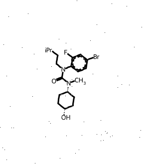 CC(C)CCN(C(=O)N(C)[C@H]1CC[C@@H](O)CC1)c1ccc(Br)cc1F